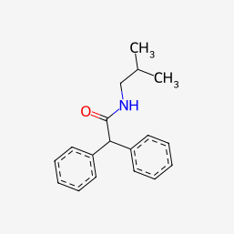 CC(C)CNC(=O)C(c1ccccc1)c1ccccc1